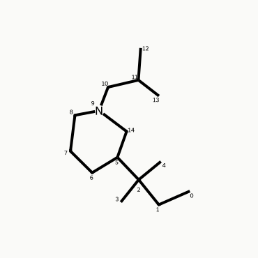 CCC(C)(C)C1CCCN(CC(C)C)C1